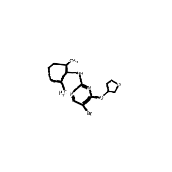 CC1CCCC(C)C1Nc1ncc(Br)c(OC2CCOC2)n1